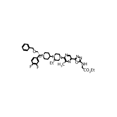 CCOC(=O)CNc1nnc(-c2cnc(N3CCN(C4CCN([C@@H](COCc5ccccc5)c5ccc(F)c(F)c5)CC4)[C@@H](CC)C3)c(C)n2)o1